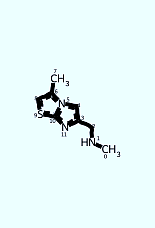 CNCc1cn2c(C)csc2n1